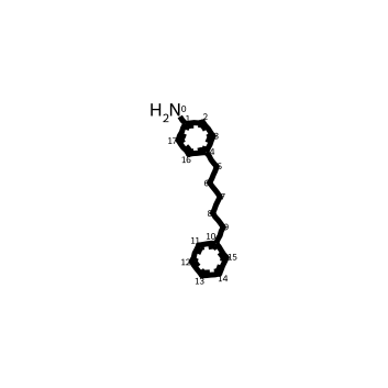 Nc1ccc(CCCCCc2ccccc2)cc1